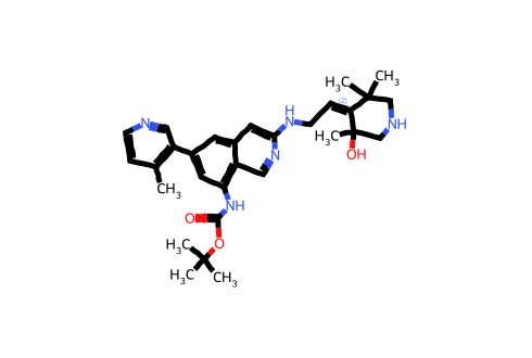 Cc1ccncc1-c1cc(NC(=O)OC(C)(C)C)c2cnc(NC/C=C3/C(C)(C)CNCC3(C)O)cc2c1